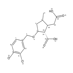 CC1CC(OCc2ccc(Cl)c(Cl)c2)[C@@H](C(=O)O)C1CC(=O)O